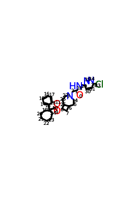 O=C(CN1CCC2C[C@H](OC(=O)C3(c4ccccc4)CCCCCC3)C2CC1)Nc1ccc(Cl)nn1